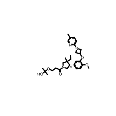 CCC1(C)CN(C(=O)CCOC(C)(C)O)C[C@H]1c1ccc(OC)c(OC2CN(c3ccc(C)cn3)C2)c1